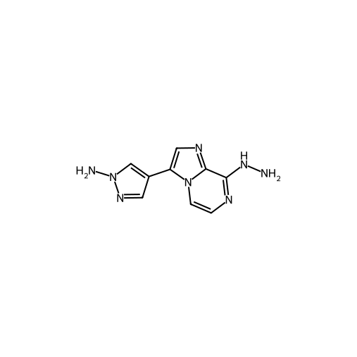 NNc1nccn2c(-c3cnn(N)c3)cnc12